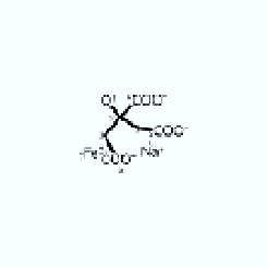 O=C([O-])CC([O-])(CC(=O)[O-])C(=O)[O-].[Fe+3].[Na+]